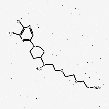 COCCOCCOCCN(C)C1CCN(c2nnc(Cl)c(N)n2)CC1